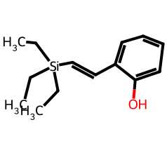 CC[Si](C=Cc1ccccc1O)(CC)CC